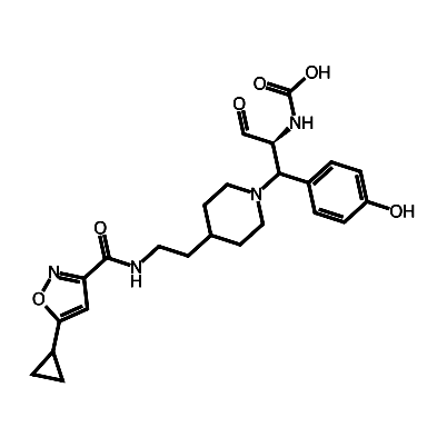 O=C[C@@H](NC(=O)O)C(c1ccc(O)cc1)N1CCC(CCNC(=O)c2cc(C3CC3)on2)CC1